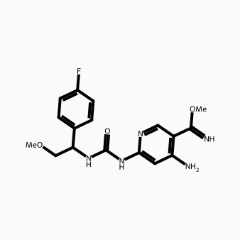 COCC(NC(=O)Nc1cc(N)c(C(=N)OC)cn1)c1ccc(F)cc1